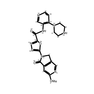 COc1cc2c(cn1)CN(c1nnc(C(=O)Nc3cnccc3N3CCNCC3)o1)C2=O